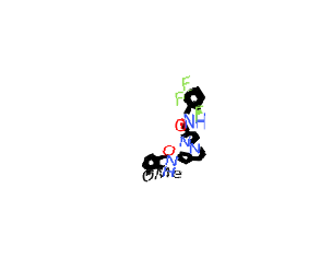 COc1cccc(C(=O)NC2CC3CCCN(c4ccc(C(=O)NCc5c(F)ccc(F)c5F)cn4)C3C2)c1C